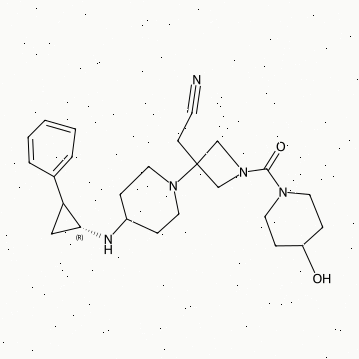 N#CCC1(N2CCC(N[C@@H]3CC3c3ccccc3)CC2)CN(C(=O)N2CCC(O)CC2)C1